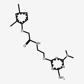 Cc1ccc(OCC(=O)NCCOc2nc(N)nc(N(C)C)n2)c(C)c1